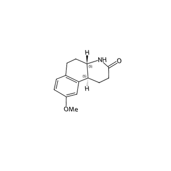 COc1ccc2c(c1)[C@@H]1CCC(=O)N[C@H]1CC2